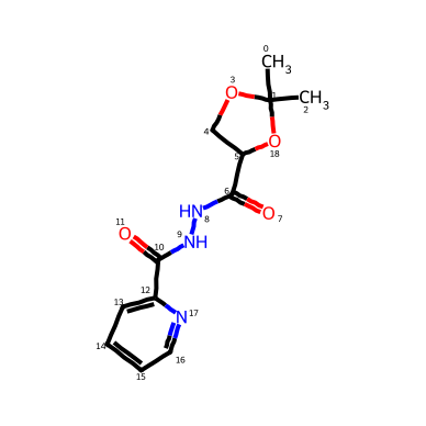 CC1(C)OCC(C(=O)NNC(=O)c2ccccn2)O1